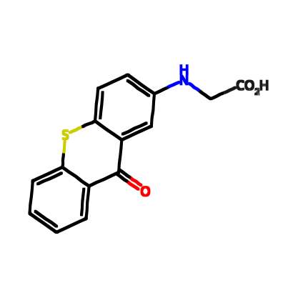 O=C(O)CNc1ccc2sc3ccccc3c(=O)c2c1